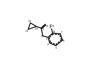 C=C(Cc1ccccc1F)C1CC1